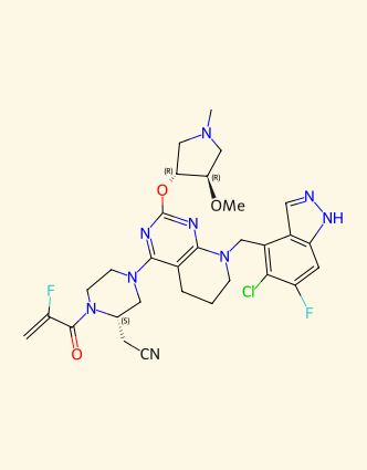 C=C(F)C(=O)N1CCN(c2nc(O[C@@H]3CN(C)C[C@H]3OC)nc3c2CCCN3Cc2c(Cl)c(F)cc3[nH]ncc23)C[C@@H]1CC#N